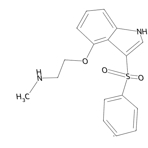 CNCCOc1cccc2[nH]cc(S(=O)(=O)c3cc[c]cc3)c12